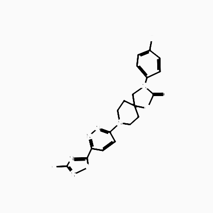 Cc1nsc(-c2ccc(N3CCC4(CC3)CN(c3ccc(F)cc3)C(=O)O4)nn2)n1